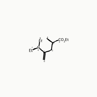 C=C(CC(C)C(=O)OCC)N(CC)CC